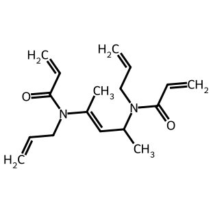 C=CCN(C(=O)C=C)C(C)=CC(C)N(CC=C)C(=O)C=C